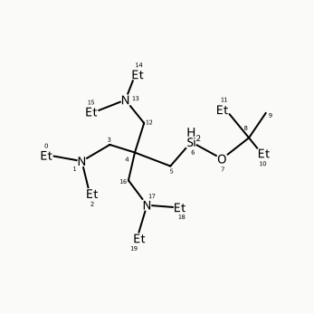 CCN(CC)CC(C[SiH2]OC(C)(CC)CC)(CN(CC)CC)CN(CC)CC